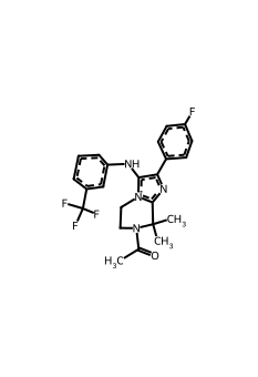 CC(=O)N1CCn2c(nc(-c3ccc(F)cc3)c2Nc2cccc(C(F)(F)F)c2)C1(C)C